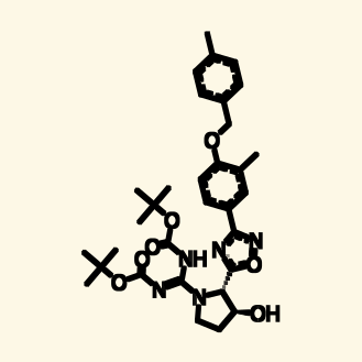 Cc1ccc(COc2ccc(-c3noc([C@@H]4[C@@H](O)CCN4/C(=N/C(=O)OC(C)(C)C)NC(=O)OC(C)(C)C)n3)cc2C)cc1